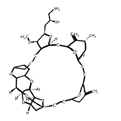 C=C1CC2CC[C@@]34C[C@@H]5O[C@@H]6[C@@H](OC7CCC(CCCC8[C@H](CC9O[C@@H](CCC1O2)C[C@@H](C)C9=C)O[C@H](C[C@H](O)CN)[C@@H]8OC)OC7[C@@H]6O3)[C@H]5O4